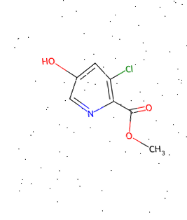 COC(=O)c1ncc(O)cc1Cl